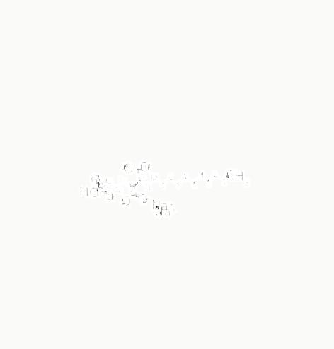 CCCCCCCCCCCCC(C(=O)[O-])=C(CCCS(=O)(=O)O)C(=O)[O-].[Na+].[Na+]